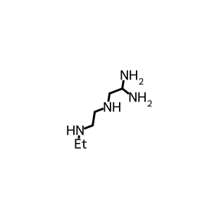 CCNCCNCC(N)N